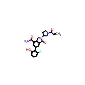 C=CC(=O)N1CCC(N2Cc3c(C(N)=O)cc(-c4c(O)cccc4F)cc3C2=O)C1